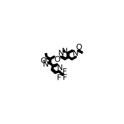 CC(=O)N1CCc2cc(OCc3c(-c4ccc(C(F)(F)F)nc4)noc3C)nnc2C1